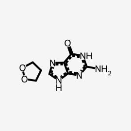 C1COOC1.Nc1nc2[nH]cnc2c(=O)[nH]1